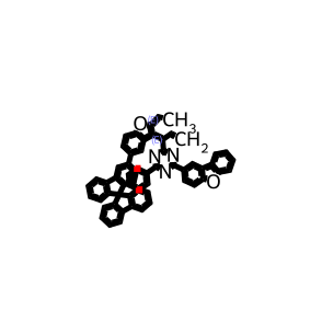 C=C/C(c1nc(-c2ccccc2)nc(-c2ccc3oc4ccccc4c3c2)n1)=c1\c(=C/C)oc2ccc(-c3ccc4c(c3)-c3ccccc3C43c4ccccc4-c4ccccc43)cc12